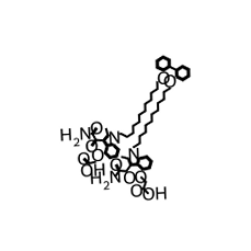 Cc1c(C(=O)C(N)=O)c2c(OCC(=O)O)cccc2n1CCCCCCCCCCCCOc1ccccc1-c1ccccc1OCCCCCCCCCCCCn1c(C)c(C(=O)C(N)=O)c2c(OCC(=O)O)cccc21